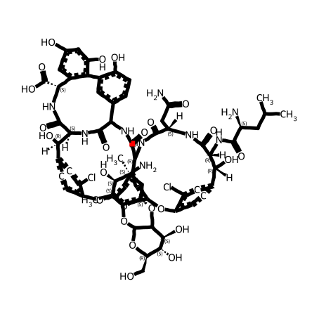 CC(C)C[C@H](N)C(=O)N[C@H]1C(=O)N[C@@H](CC(N)=O)C(=O)N[C@H]2C(=O)NC3C(=O)N[C@H](C(=O)N[C@H](C(=O)O)c4cc(O)cc(O)c4-c4cc3ccc4O)[C@H](O)c3ccc(c(Cl)c3)Oc3cc2cc(c3OC2O[C@H](CO)[C@@H](O)[C@H](O)C2O[C@H]2C[C@](C)(N)[C@H](O)[C@H](C)O2)Oc2ccc(cc2Cl)[C@H]1O